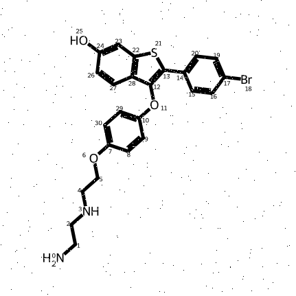 NCCNCCOc1ccc(Oc2c(-c3ccc(Br)cc3)sc3cc(O)ccc23)cc1